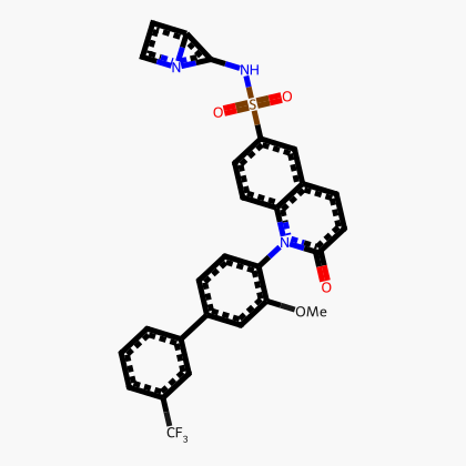 COc1cc(-c2cccc(C(F)(F)F)c2)ccc1-n1c(=O)ccc2cc(S(=O)(=O)Nc3c4ccn3-4)ccc21